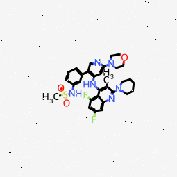 Cc1c(N2CCCCC2)nc2cc(F)cc(F)c2c1Nc1cc(N2CCOCC2)ncc1-c1cccc(NS(C)(=O)=O)c1